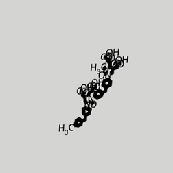 Cc1ccc(Cc2ccc(N(CCCS(=O)(=O)O)C(=O)N(CCCS(=O)(=O)O)c3ccc(Cc4ccc(N(CCCS(=O)(=O)O)C(=O)N(C)CCCS(=O)(=O)O)cc4)cc3)cc2)cc1